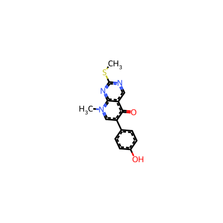 CSc1ncc2c(=O)c(-c3ccc(O)cc3)cn(C)c2n1